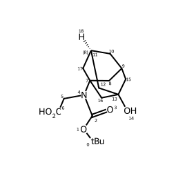 CC(C)(C)OC(=O)N(CC(=O)O)C12CC3C[C@@H](CC(O)(C3)C1)C2